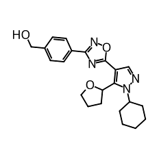 OCc1ccc(-c2noc(-c3cnn(C4CCCCC4)c3C3CCCO3)n2)cc1